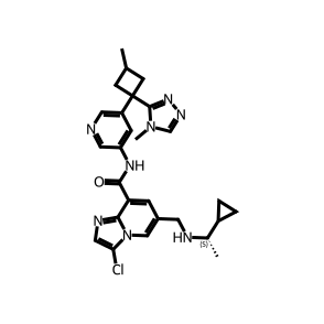 CC1CC(c2cncc(NC(=O)c3cc(CN[C@@H](C)C4CC4)cn4c(Cl)cnc34)c2)(c2nncn2C)C1